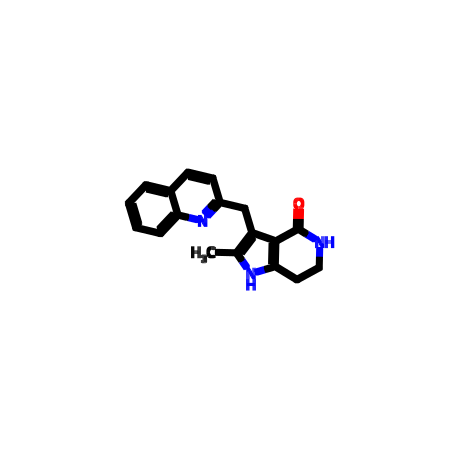 Cc1[nH]c2c(c1Cc1ccc3ccccc3n1)C(=O)NCC2